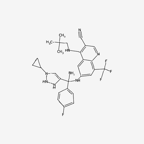 BC(Nc1cc(C(F)(F)F)c2ncc(C#N)c(NCC(C)(C)C)c2c1)(C1=CN(C2CC2)NN1)c1ccc(F)cc1